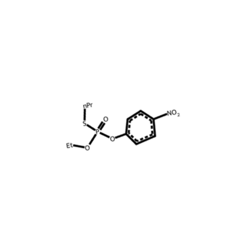 CCCSP(=O)(OCC)Oc1ccc([N+](=O)[O-])cc1